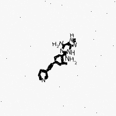 Cc1cc(C#Cc2cccnc2)ccc1C1(N)N=C(N)c2[nH]cnc2N1